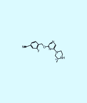 C[C@H]1CN(c2cncc(OCc3ccc(C#N)cc3F)n2)CCN1